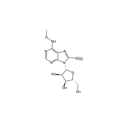 C#Cc1nc2c(NOC)ncnc2n1[C@@H]1O[C@H](CO)[C@@H](O)[C@H]1O